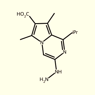 Cc1c(C(=O)O)c(C)n2cc(NN)nc(C(C)C)c12